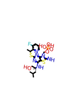 CC(C)C[C@H](CO)Nc1nc(SC(C)c2ncccc2F)nc2c1sc(=N)n2COP(=O)(O)O